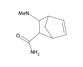 CNC1C2C=CC(C2)C1C(N)=O